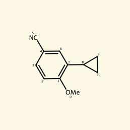 COc1ccc(C#N)cc1C1CC1